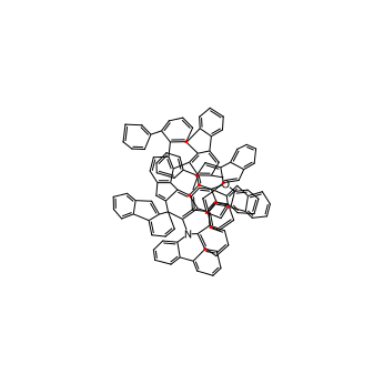 Cc1cc2c(c(-c3c(-c4ccccc4-c4ccccc4)ccc4c3C3=C(C5=C(c6ccccc6)C=C6C(=Cc7ccccc76)C56C=CC=C5C6=Cc6ccccc65)C(c5ccccc5)=C(N(c5ccccc5-c5ccccc5)c5ccccc5-c5cccc6oc7ccccc7c56)C5(C=CC=C6C5=Cc5ccccc56)C3=C4)c1C)Cc1ccccc1-2